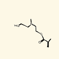 C=C(C)C(=O)OCCN(C)CCO